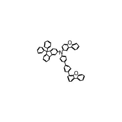 c1ccc(C2(c3ccccc3)c3ccccc3-c3cc(N(c4ccc(-c5ccc(-c6cccc7c6oc6ccccc67)cc5)cc4)c4ccc5oc6ccccc6c5c4)ccc32)cc1